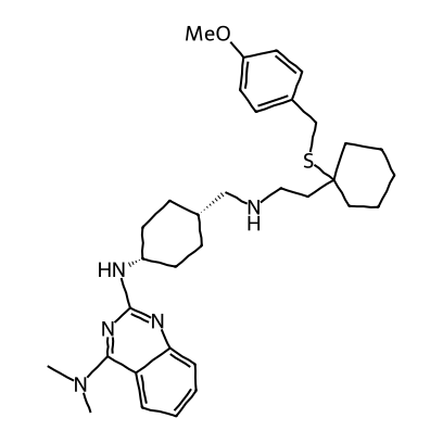 COc1ccc(CSC2(CCNC[C@H]3CC[C@@H](Nc4nc(N(C)C)c5ccccc5n4)CC3)CCCCC2)cc1